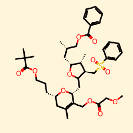 COCC(=O)OCC1=C(C)C[C@H](CCCOC(=O)C(C)(C)C)O[C@@H]1CC1O[C@H](C[C@H](C)COC(=O)c2ccccc2)[C@H](C)[C@H]1CS(=O)(=O)c1ccccc1